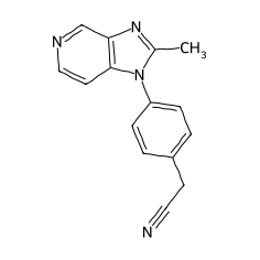 Cc1nc2cnccc2n1-c1ccc(CC#N)cc1